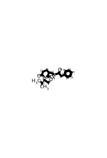 CC(C)[C@@H]1COC23CCN(C(=O)Cc4ccccc4)CC2CCC(=O)N13